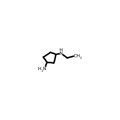 CCNC1CCC(N)C1